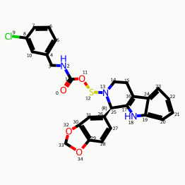 O=C(NCc1cccc(Cl)c1)OSN1CCc2c([nH]c3ccccc23)[C@H]1c1ccc2c(c1)OCO2